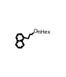 CCCCCCO[CH]CCc1cccc2ccccc12